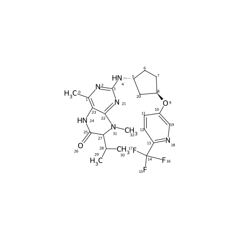 Cc1nc(N[C@@H]2CC[C@@H](Oc3ccc(C(F)(F)F)nc3)C2)nc2c1NC(=O)C(C(C)C)N2C